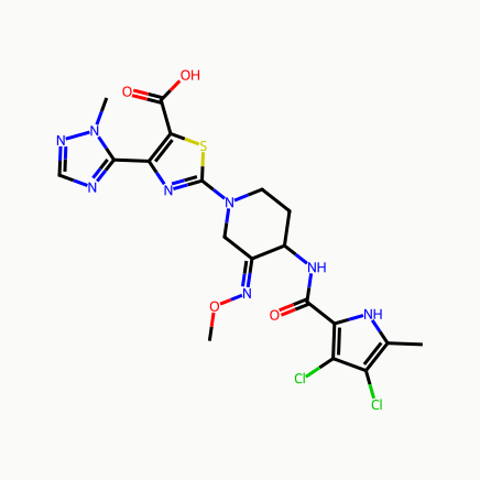 CON=C1CN(c2nc(-c3ncnn3C)c(C(=O)O)s2)CCC1NC(=O)c1[nH]c(C)c(Cl)c1Cl